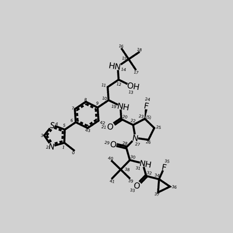 Cc1ncsc1-c1ccc(C(CC(O)NC(C)(C)C)NC(=O)C2[C@@H](F)CCN2C(=O)C(NC(=O)C2(F)CC2)C(C)(C)C)cc1